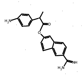 CC(C(=O)Oc1ccc2cc(C(=N)N)ccc2c1)c1ccc(N)cc1